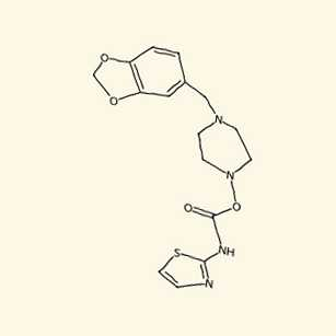 O=C(Nc1nccs1)ON1CCN(Cc2ccc3c(c2)OCO3)CC1